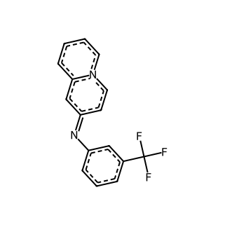 FC(F)(F)c1cccc(/N=c2\ccn3ccccc3c2)c1